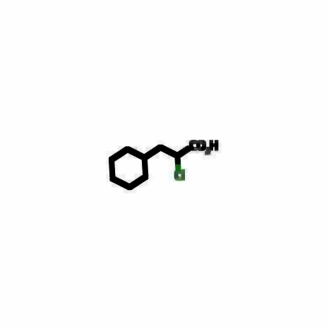 O=C(O)C(Cl)CC1CCCCC1